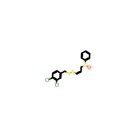 [O-][S+](C/C=C\SSCc1ccc(Cl)c(Cl)c1)c1ccccc1